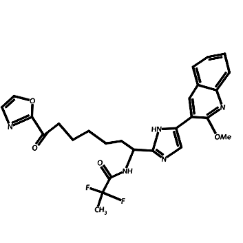 COc1nc2ccccc2cc1-c1cnc(C(CCCCCC(=O)c2ncco2)NC(=O)C(C)(F)F)[nH]1